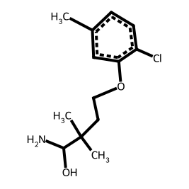 Cc1ccc(Cl)c(OCCC(C)(C)C(N)O)c1